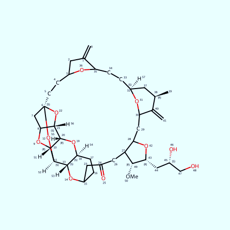 C=C1CC2CC[C@@]34CC5O[C@H]6[C@@H](O3)[C@H]3OC(CC[C@@H]3O[C@H]6[C@H]5O4)CC(=O)CC3C(CC4O[C@@H](CCC1O2)C[C@@H](C)C4=C)O[C@H](C[C@H](O)CO)[C@@H]3OC